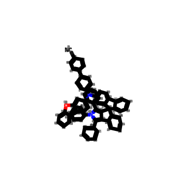 N#Cc1ccc(-c2ccc(N(c3ccc4c(c3)C3(c5ccccc5-4)c4ccccc4-c4c3c(-c3ccccc3)n(-c3ccccc3)c4-c3ccccc3)c3ccc4c(c3)oc3ccccc34)cc2)cc1